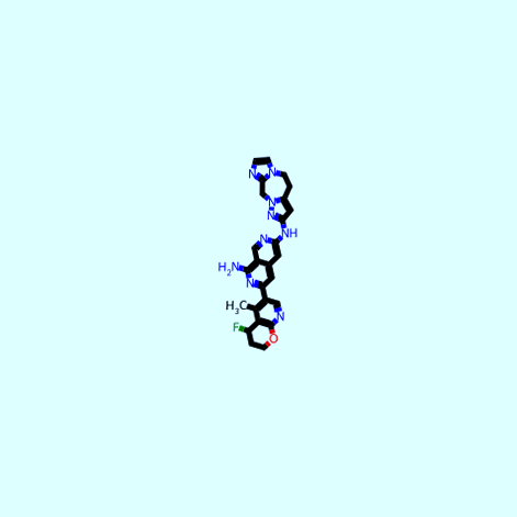 Cc1c(-c2cc3cc(Nc4cc5n(n4)Cc4nccn4CC5)ncc3c(N)n2)cnc2c1C(F)CCO2